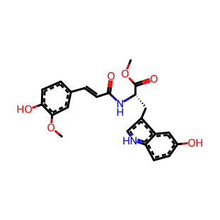 COC(=O)[C@H](Cc1c[nH]c2ccc(O)cc12)NC(=O)/C=C/c1ccc(O)c(OC)c1